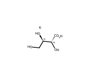 O=C(O)[C@H](O)[C@H](O)CO.[K]